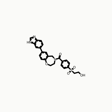 O=C(c1ccc(S(=O)(=O)CCO)cc1)N1CCOc2ccc(-c3ccc4nc[nH]c4c3)cc2C1